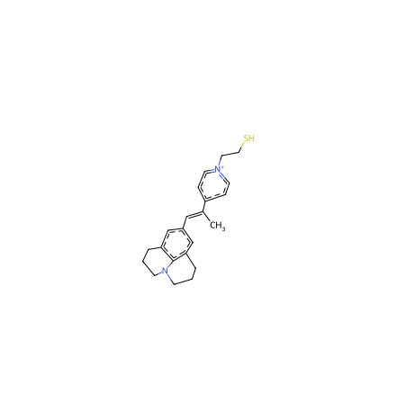 C/C(=C\c1cc2c3c(c1)CCCN3CCC2)c1cc[n+](CCS)cc1